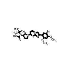 COc1cc(OC)c(-c2cn3ccc(N4CCC(N(C(=O)O)C(C)(C)C)C4)nc3n2)cc1Br